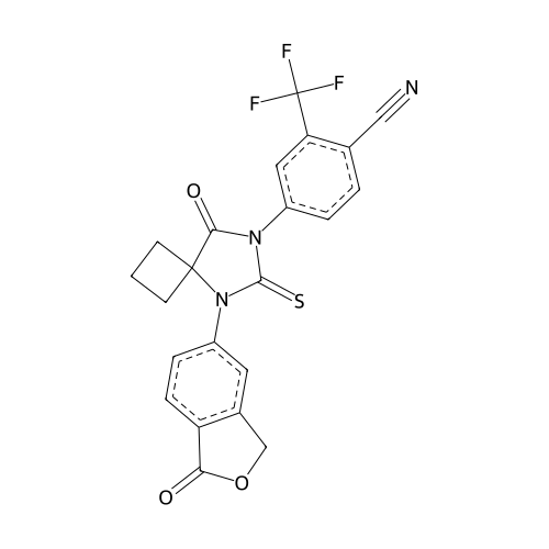 N#Cc1ccc(N2C(=O)C3(CCC3)N(c3ccc4c(c3)COC4=O)C2=S)cc1C(F)(F)F